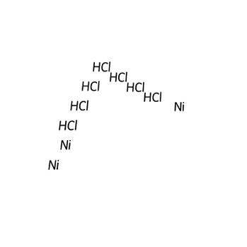 Cl.Cl.Cl.Cl.Cl.Cl.Cl.[Ni].[Ni].[Ni]